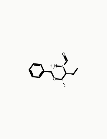 CC[C@@H]([C@H](C)OCc1ccccc1)N(N)C=O